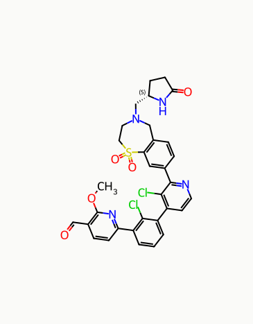 COc1nc(-c2cccc(-c3ccnc(-c4ccc5c(c4)S(=O)(=O)CCN(C[C@@H]4CCC(=O)N4)C5)c3Cl)c2Cl)ccc1C=O